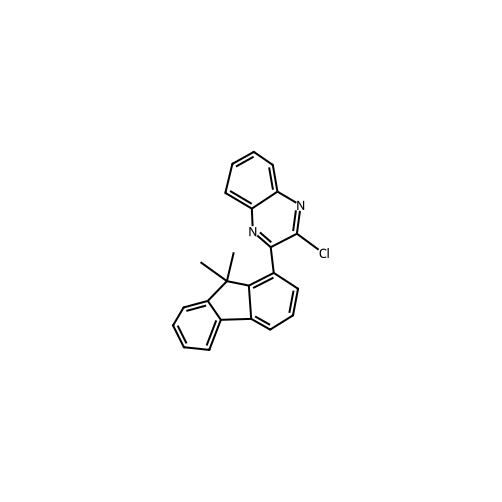 CC1(C)c2ccccc2-c2cccc(-c3nc4ccccc4nc3Cl)c21